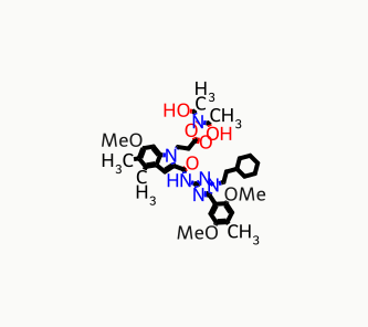 COc1cc(-c2nc(NC(=O)c3cc4c(C)c(C)c(OC)cc4n3CCC(=O)ON(C(C)O)C(C)O)nn2CCC2CCCCC2)c(OC)cc1C